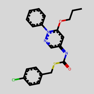 CCCOc1cc(=NC(=O)SCc2ccc(Cl)cc2)cnn1-c1ccccc1